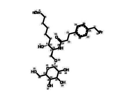 CCCCCCCCCCCCCCC[C@@H](O)[C@H](CO[C@H]1OC(CO)[C@H](O)C(O)C1O)NC(=O)CCc1ccc(CC(C)C)cc1